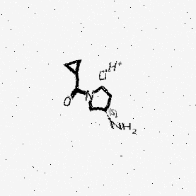 N[C@H]1CCN(C(=O)C2CC2)C1.[Cl-].[H+]